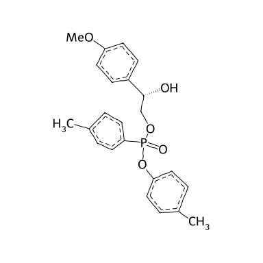 COc1ccc([C@H](O)COP(=O)(Oc2ccc(C)cc2)c2ccc(C)cc2)cc1